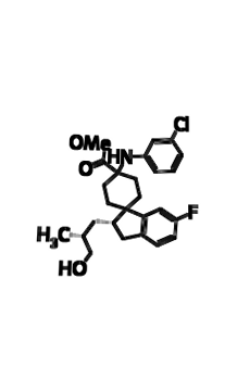 COC(=O)C1(Nc2cccc(Cl)c2)CCC2(CC1)c1cc(F)ccc1C[C@@H]2C[C@@H](C)CO